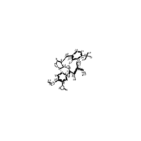 COc1ccc([C@@H]2OC[C@@H](Cc3ccc(C(C)(C)C)cc3)[C@H]2OC(=O)C(C)=C(C)C)cc1OC